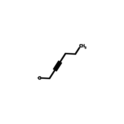 CCCC#CC[O]